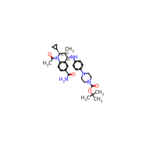 CC(=O)N1c2ccc(C(N)=O)cc2[C@H](Nc2ccc(N3CCN(C(=O)OC(C)(C)C)CC3)cc2)[C@@H](C)[C@@H]1C1CC1